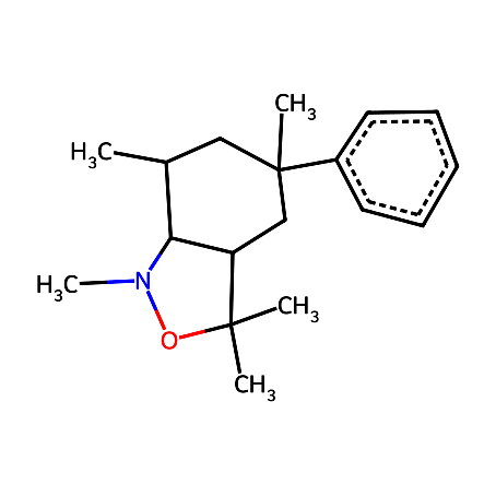 CC1CC(C)(c2ccccc2)CC2C1N(C)OC2(C)C